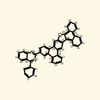 c1ccc(-c2nc(-c3ccc4c(c3)c3ccccc3c3cc5c(cc43)oc3c4ccccc4c4ccccc4c53)nc3ccccc23)cc1